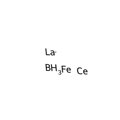 B.[Ce].[Fe].[La]